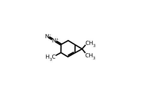 CC1C=C2C(CC1=[N+]=[N-])C2(C)C